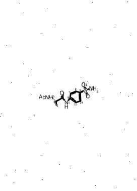 CC(=O)N[C@@H](C)C(=O)Nc1ccc(S(N)(=O)=O)cc1